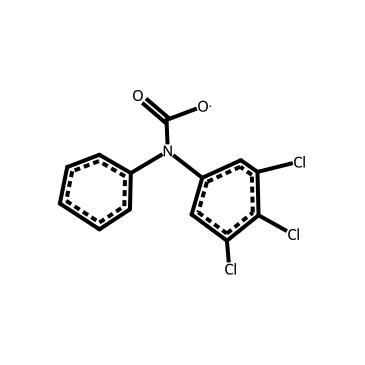 [O]C(=O)N(c1ccccc1)c1cc(Cl)c(Cl)c(Cl)c1